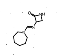 O=C1NCC1N=CN1CCCCCC1